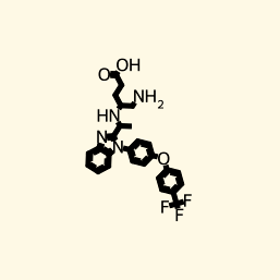 CC(NC(CN)CCC(=O)O)c1nc2ccccc2n1-c1ccc(Oc2ccc(C(F)(F)F)cc2)cc1